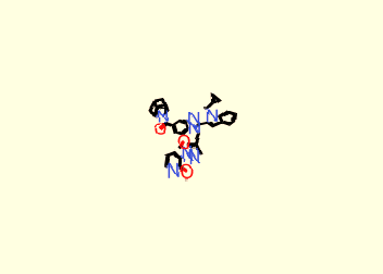 COc1ncccc1-n1cc(Cn2c(-c3cc4ccccc4n3CC3CC3)nc3cc(C(=O)N4CC5CC6CC4[C@H]65)cc(OC)c32)cn1